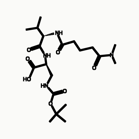 CC(C)[C@H](NC(=O)CCCC(=O)N(C)C)C(=O)N[C@@H](CNC(=O)OC(C)(C)C)C(=O)O